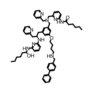 CCCCCC(=O)Nc1cccc(CN(Cc2cc(CC(Cc3ccccn3)Nc3cccc(NC(O)CCCCC)n3)cc(OCCCCNCc3ccc(-c4ccccc4)cc3)c2)Cc2ccccn2)n1